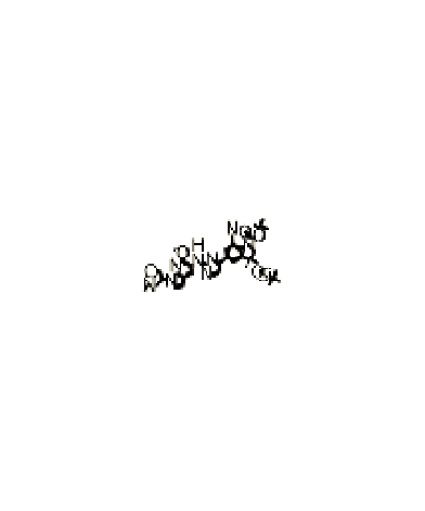 COc1nc2c(ccn2C(C=O)CN(C)C)cc1Nc1nccc(-c2cc(C#N)c3c(c2)[C@@](C)(CO[Si](C)(C)C(C)(C)C)CN3C(=O)OC(C)(C)C)n1